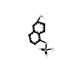 Nc1ccc2c(OS(=O)(=O)C(F)(F)F)cccc2c1